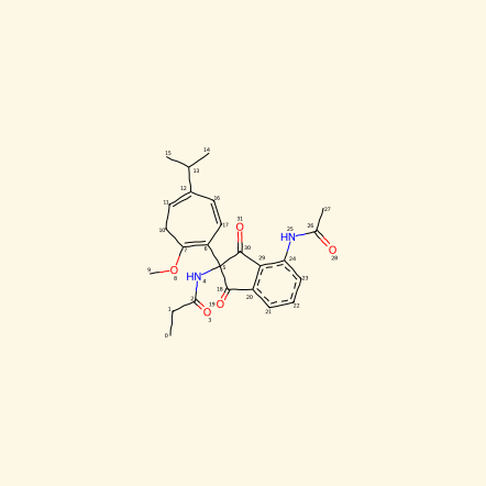 CCC(=O)NC1(C2=C(OC)CC=C(C(C)C)C=C2)C(=O)c2cccc(NC(C)=O)c2C1=O